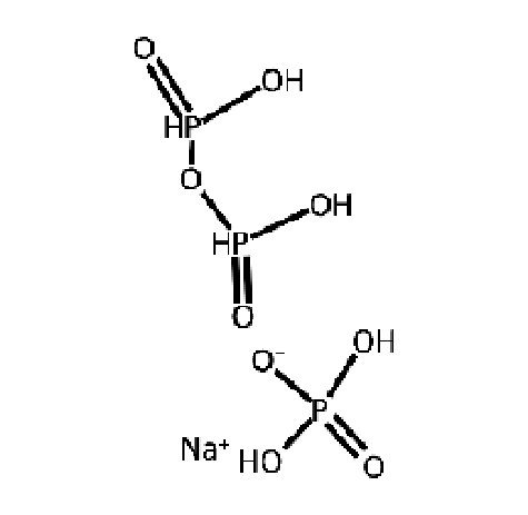 O=P([O-])(O)O.O=[PH](O)O[PH](=O)O.[Na+]